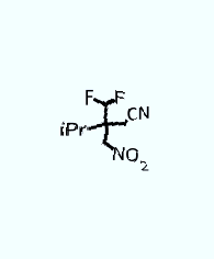 CC(C)C(CC#N)(C[N+](=O)[O-])C(F)F